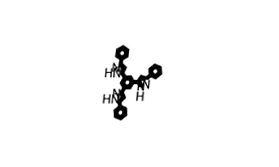 c1ccc(-c2cc(-c3cc(-c4cc(-c5ccccc5)[nH]n4)cc(-c4cc(-c5ccccc5)n[nH]4)c3)[nH]n2)cc1